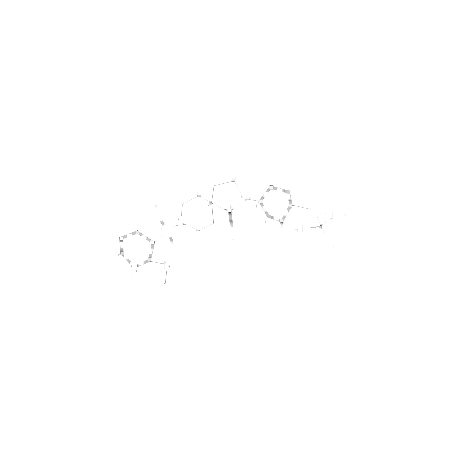 CNc1ncccc1S(=O)(=O)N1CCC2(CCN(c3ccc(OC(F)(F)F)cc3)C2=O)CC1